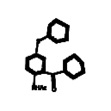 CC(=O)Nc1ccc(Sc2ccccc2)cc1C(=O)c1ccccc1